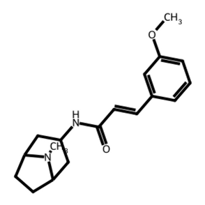 COc1cccc(C=CC(=O)NC2CC3CCC(C2)N3C)c1